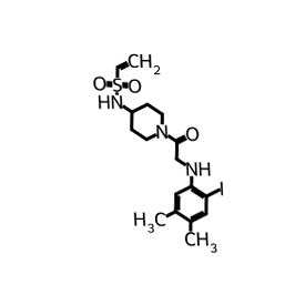 C=CS(=O)(=O)NC1CCN(C(=O)CNc2cc(C)c(C)cc2I)CC1